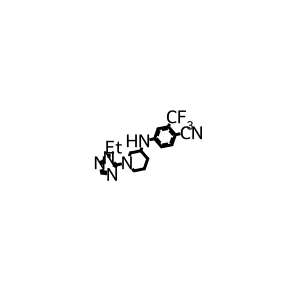 CCn1ncnc1N1CCCC(Nc2ccc(C#N)c(C(F)(F)F)c2)C1